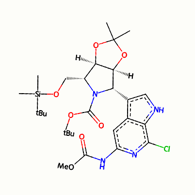 COC(=O)Nc1cc2c([C@H]3[C@@H]4OC(C)(C)O[C@@H]4[C@@H](CO[Si](C)(C)C(C)(C)C)N3C(=O)OC(C)(C)C)c[nH]c2c(Cl)n1